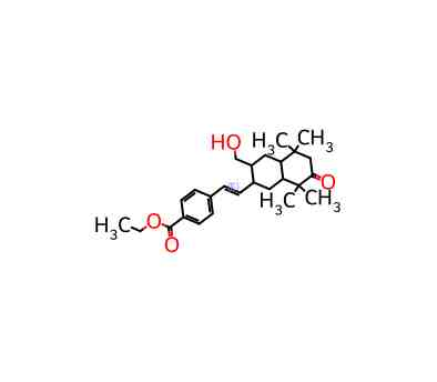 CCOC(=O)c1ccc(/C=C/C2CC3C(CC2CO)C(C)(C)CC(=O)C3(C)C)cc1